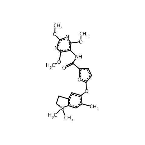 COc1nc(OC)c(NC(=O)c2ccc(Oc3cc4c(cc3C)[Si](C)(C)CC4)o2)c(OC)n1